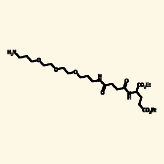 CCOC(=O)CCC(NC(=O)CCC(=O)NCCCOCCOCCOCCCN)C(=O)OCC